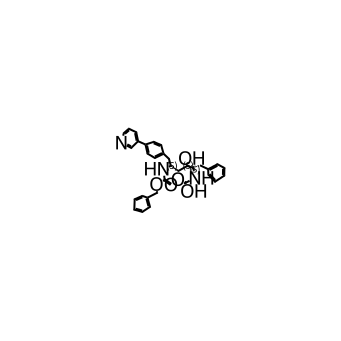 O=C(O)N[C@@H](Cc1ccccc1)[C@@H](O)C[C@H](Cc1ccc(-c2cccnc2)cc1)NC(=O)OCc1ccccc1